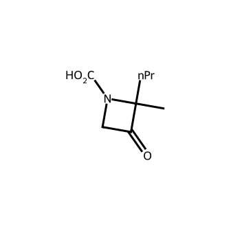 CCCC1(C)C(=O)CN1C(=O)O